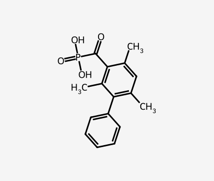 Cc1cc(C)c(-c2ccccc2)c(C)c1C(=O)P(=O)(O)O